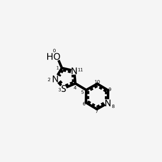 Oc1nsc(-c2ccncc2)n1